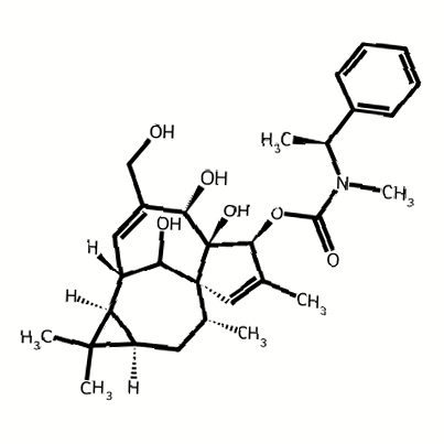 CC1=C[C@]23C(O)[C@@H](C=C(CO)[C@@H](O)[C@]2(O)[C@H]1OC(=O)N(C)[C@@H](C)c1ccccc1)[C@H]1[C@@H](C[C@H]3C)C1(C)C